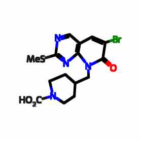 CSc1ncc2cc(Br)c(=O)n(CC3CCN(C(=O)O)CC3)c2n1